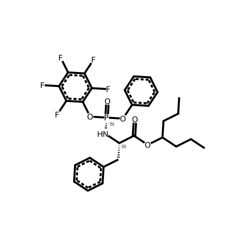 CCCC(CCC)OC(=O)[C@H](Cc1ccccc1)N[P@](=O)(Oc1ccccc1)Oc1c(F)c(F)c(F)c(F)c1F